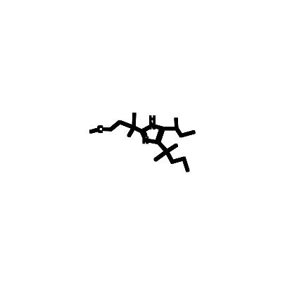 CCCCC(C)(C)c1nc(C(C)(C)CCC)c(C(C)CC)[nH]1